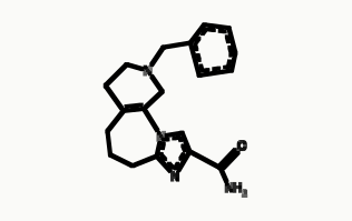 NC(=O)c1cn2c(n1)CCCC1=C2CN(Cc2ccccc2)CC1